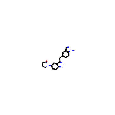 C[C@H]1CCN(c2ccc3[nH]nc(Cc4ccc5c(cnn5C)c4)c3c2)C1=O